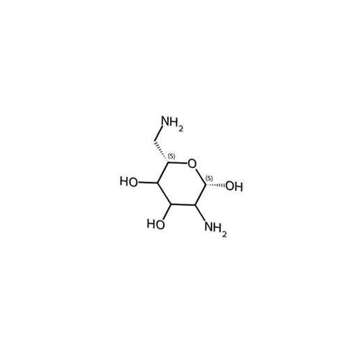 NC[C@@H]1O[C@H](O)C(N)C(O)C1O